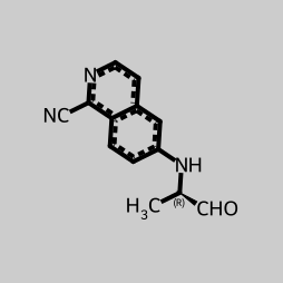 C[C@H](C=O)Nc1ccc2c(C#N)nccc2c1